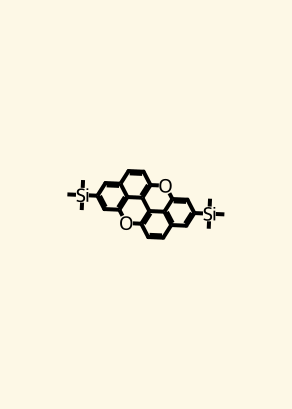 C[Si](C)(C)c1cc2ccc3oc4cc([Si](C)(C)C)cc5ccc6oc(c1)c2c3-c6c54